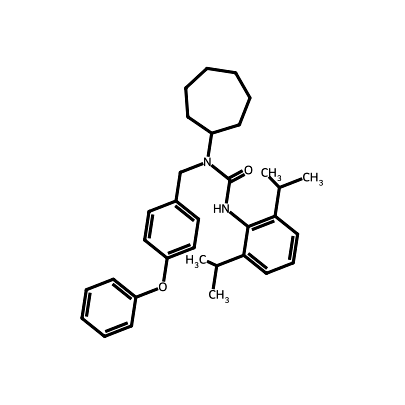 CC(C)c1cccc(C(C)C)c1NC(=O)N(Cc1ccc(Oc2ccccc2)cc1)C1CCCCCC1